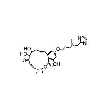 CC1OC(=O)c2c(O)cc(OCCCNCc3ncc[nH]3)cc2/C=C/CC(O)C(O)C(=O)/C=C\[C@H]1C